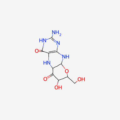 Nc1nc2c(c(=O)[nH]1)NC1C(=O)C(O)C(CO)OC1N2